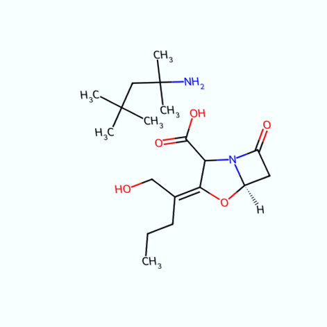 CC(C)(C)CC(C)(C)N.CCC/C(CO)=C1\O[C@@H]2CC(=O)N2C1C(=O)O